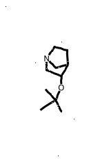 CC(C)(C)OC1CN2CCC1C2